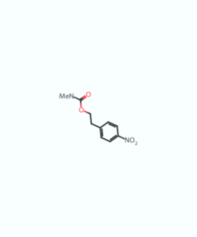 CNC(=O)OCCc1ccc([N+](=O)[O-])cc1